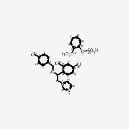 Clc1ccc(COC(Cn2ccnc2)c2ccc(Cl)cc2Cl)cc1.O=C(O)c1ccccc1OS(=O)(=O)O